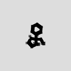 ClCC1(c2ccccc2)NC=CS1